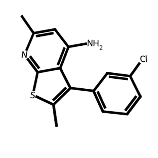 Cc1cc(N)c2c(-c3cccc(Cl)c3)c(C)sc2n1